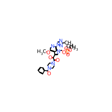 COc1cnc(-n2cnc(C)n2)c2c1c(C(=O)C(=O)N1CCN(C(=O)c3ccccc3)CC1)cn2COP(=O)(OC)OC